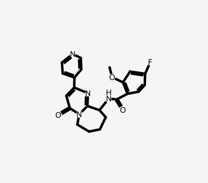 COc1cc(F)ccc1C(=O)NC1CCCCn2c1nc(-c1ccncc1)cc2=O